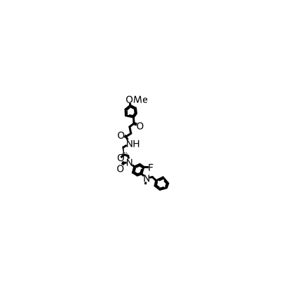 COc1ccc(C(=O)CCC(=O)NC[C@H]2CN(c3ccc(N(C)Cc4ccccc4)c(F)c3)C(=O)O2)cc1